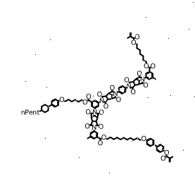 C=C(C)C(=O)OCCCCCCCOC(=O)c1cc(C)cc(N2C(=O)C3CC(C2=O)C2C(=O)N(c4ccc(N5C(=O)C6CC(C5=O)C5C(=O)N(c7cc(C(=O)OCCCCCCOc8ccc(C9CCC(CCCCC)CC9)cc8)cc(N8C(=O)C9CC(C8=O)C8C(=O)N(c%10cc(C)cc(C(=O)OCCCCCCCCCCCOc%11ccc(-c%12ccc(OC(=O)C(=C)C)cc%12)cc%11)c%10)C(=O)C98)c7)C(=O)C65)cc4)C(=O)C32)c1